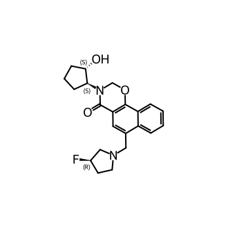 O=C1c2cc(CN3CC[C@@H](F)C3)c3ccccc3c2OCN1[C@H]1CCC[C@@H]1O